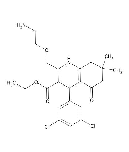 CCOC(=O)C1=C(COCCN)NC2=C(C(=O)CC(C)(C)C2)C1c1cc(Cl)cc(Cl)c1